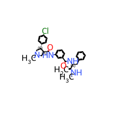 C=C(NC)[C@H](Cc1ccccc1)NC(=O)c1cccc(NC(=O)[C@H]2CN(C)C[C@@H]2c2ccc(Cl)cc2)c1